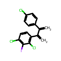 C=C(C(=C)c1ccc(Cl)c(I)c1Cl)c1ccc(Cl)cc1